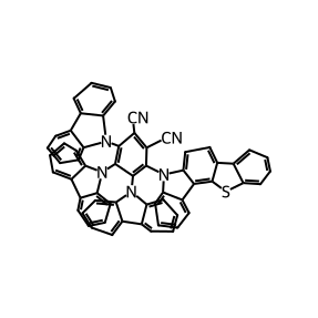 N#Cc1c(C#N)c(-n2c3ccccc3c3c4sc5ccccc5c4ccc32)c(-n2c3ccccc3c3ccccc32)c(-n2c3ccccc3c3ccccc32)c1-n1c2ccccc2c2ccccc21